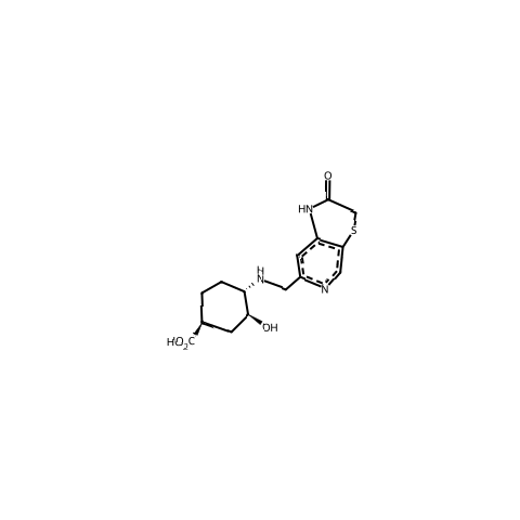 O=C1CSc2cnc(CN[C@H]3CC[C@H](C(=O)O)C[C@@H]3O)cc2N1